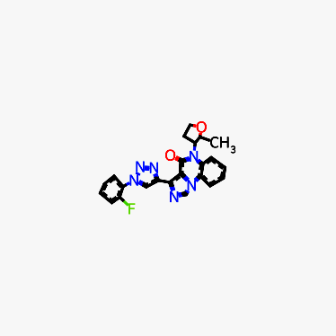 CC1OCCC1n1c(=O)c2c(-c3cn(-c4ccccc4F)nn3)ncn2c2ccccc21